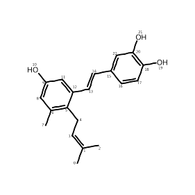 CC(C)=CCc1c(C)cc(O)cc1/C=C/c1ccc(O)c(O)c1